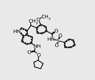 COc1cc(C(=O)NS(=O)(=O)c2ccccc2)ccc1C(C)c1c[nH]c2ccc(NC(=O)OC3CCCC3)cc12